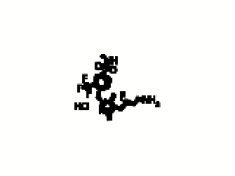 CNS(=O)(=O)c1ccc(Cn2nc(C)c(CC(F)=CCN)c2C)c(C(F)(F)F)c1.Cl